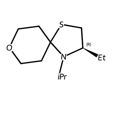 CC[C@@H]1CSC2(CCOCC2)N1C(C)C